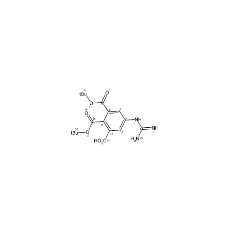 CC(C)(C)OC(=O)c1cc(NC(=N)N)cc(C(=O)O)c1C(=O)OC(C)(C)C